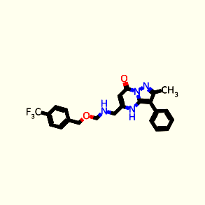 Cc1nn2c(=O)cc(CNCOCc3ccc(C(F)(F)F)cc3)[nH]c2c1-c1ccccc1